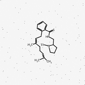 CCN1CCCC1CNC(=S)c1ccccc1CC=C(C)CCC=C(C)C